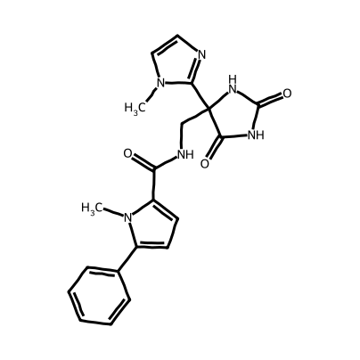 Cn1ccnc1C1(CNC(=O)c2ccc(-c3ccccc3)n2C)NC(=O)NC1=O